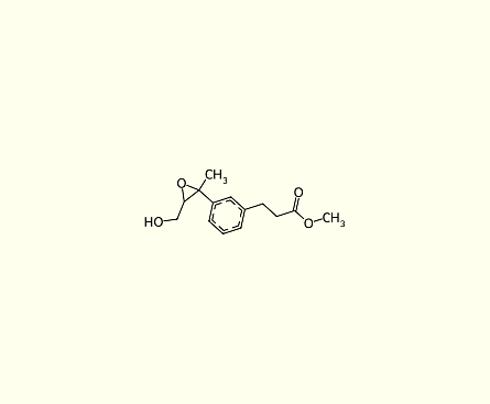 COC(=O)CCc1cccc(C2(C)OC2CO)c1